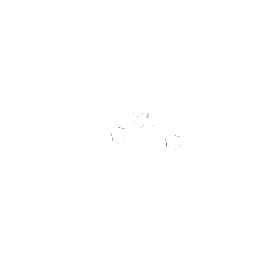 COc1cc2c(cc1OC)-c1n[nH]c(NCc3cc(Cl)cc(Cl)c3)c1C2